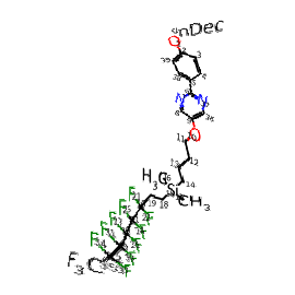 CCCCCCCCCCOc1ccc(-c2ncc(OCCCC[Si](C)(C)CCC(F)(F)C(F)(F)C(F)(F)C(F)(F)C(F)(F)C(F)(F)F)cn2)cc1